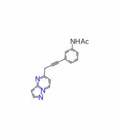 CC(=O)Nc1cccc(C#CCc2ccn3nccc3n2)c1